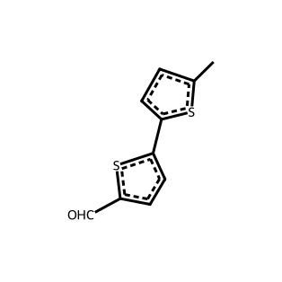 Cc1ccc(-c2ccc(C=O)s2)s1